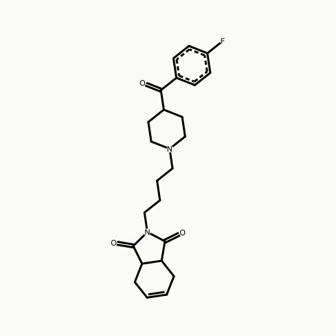 O=C(c1ccc(F)cc1)C1CCN(CCCCN2C(=O)C3CC=CCC3C2=O)CC1